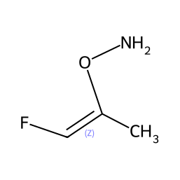 C/C(=C/F)ON